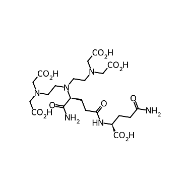 NC(=O)CC[C@H](NC(=O)CC[C@@H](C(N)=O)N(CCN(CC(=O)O)CC(=O)O)CCN(CC(=O)O)CC(=O)O)C(=O)O